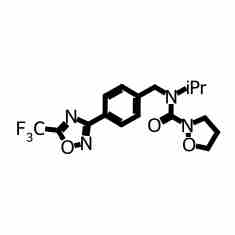 CC(C)N(Cc1ccc(-c2noc(C(F)(F)F)n2)cc1)C(=O)N1CCCO1